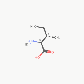 CC[C@H](C)[C@H](N)C(=O)O.[KH]